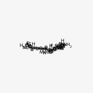 CCN(C)c1ccc(C(=O)NCCOCCOCCNC(=O)CC[C@H](NC(=O)c2ccc(N(Cc3cnc4nc(N)[nH]c(=O)c4n3)C(=O)C(F)(F)F)cc2)C(=O)OC)cc1C#N